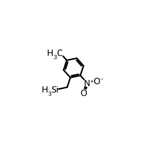 Cc1ccc([N+](=O)[O-])c(C[SiH3])c1